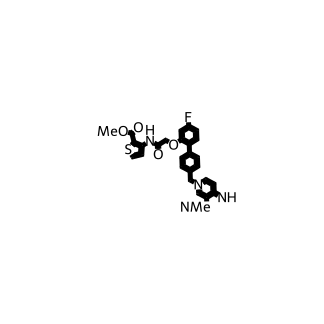 CNc1cn(Cc2ccc(-c3ccc(F)cc3OCC(=O)Nc3ccsc3C(=O)OC)cc2)ccc1=N